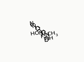 CN(c1ccc(-c2ccc(-n3ccnc3)cc2O)nn1)[C@H]1CC2CCC(N2)[C@H]1F